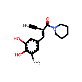 C#C/C(=C\c1cc(O)c(O)c([N+](=O)[O-])c1)C(=O)N1CCCCC1